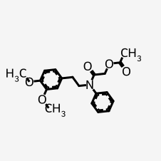 COc1ccc(CCN(C(=O)COC(C)=O)c2ccccc2)cc1OC